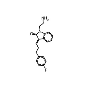 NCCN1C(=O)/C(=C/CCc2ccc(F)cc2)c2ccccc21